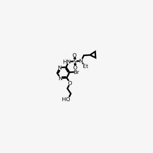 CCN(CC1CC1)S(=O)(=O)Nc1ncnc(OCCO)c1Br